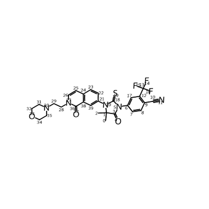 CC1(C)C(=O)N(c2ccc(C#N)c(C(F)(F)F)c2)C(=S)N1c1ccc2ccn(CCN3CCOCC3)c(=O)c2c1